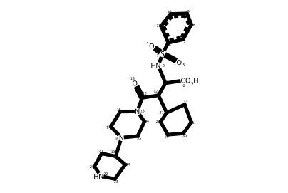 O=C(O)C(NS(=O)(=O)c1ccccc1)C(C(=O)N1CCN(C2CCNCC2)CC1)C1CCCCC1